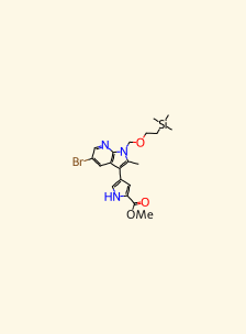 COC(=O)c1cc(-c2c(C)n(COCC[Si](C)(C)C)c3ncc(Br)cc23)c[nH]1